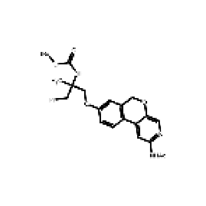 CC(=O)Nc1cc2c(cn1)OCc1cc(OCC(C)(CC(C)C)NC(=O)OC(C)(C)C)ccc1-2